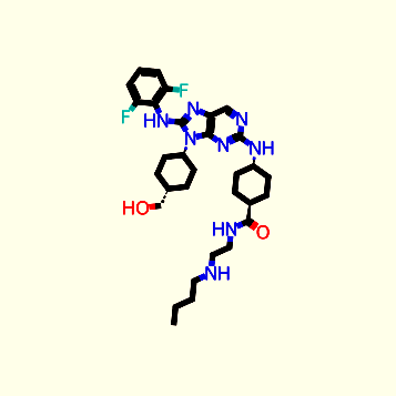 CCCCNCCNC(=O)[C@H]1CC[C@H](Nc2ncc3nc(Nc4c(F)cccc4F)n([C@H]4CC[C@@H](CO)CC4)c3n2)CC1